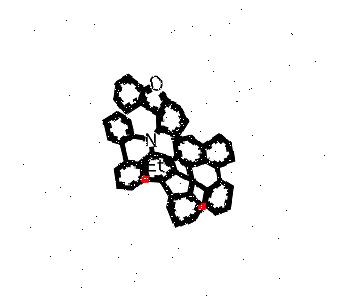 CCc1ccc2cccc3c2c1C1(c2ccccc2-c2ccc(N(c4ccccc4-c4ccccc4)c4cccc5oc6ccccc6c45)cc21)c1ccccc1-3